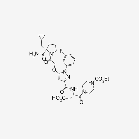 CCOC(=O)N1CCN(C(=O)[C@H](CC(=O)O)NC(=O)c2cc(OCC(=O)N3CCC[C@]3(CC3CC3)C(N)=O)n(-c3cccc(F)c3)n2)CC1